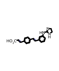 O=C(O)/C=C/c1ccc(/C=C/c2cccc(NC3=NCCN3)c2)cc1